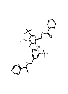 CC(C)(C)c1cc(COC(=O)c2ccccc2)cc(Cc2cc(COC(=O)c3ccccc3)cc(C(C)(C)C)c2O)c1O